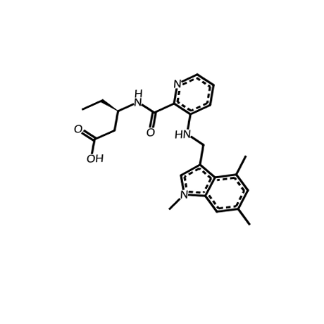 CC[C@H](CC(=O)O)NC(=O)c1ncccc1NCc1cn(C)c2cc(C)cc(C)c12